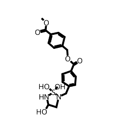 COC(=O)c1ccc(COC(=O)c2ccc(CN3CC(O)NS3(O)O)cc2)cc1